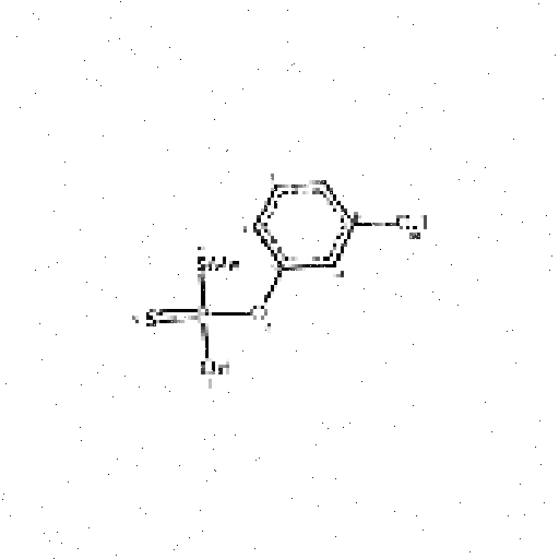 CSP(O)(=S)Oc1cccc(O)c1